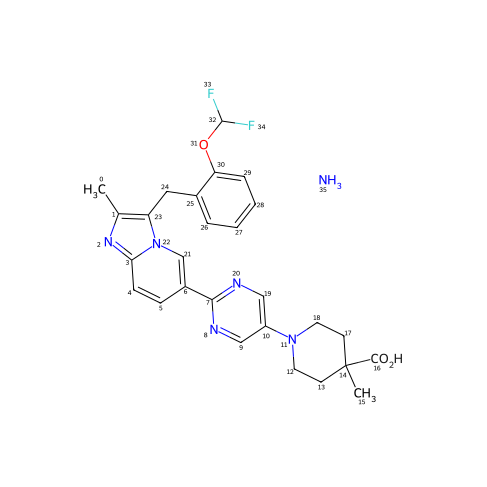 Cc1nc2ccc(-c3ncc(N4CCC(C)(C(=O)O)CC4)cn3)cn2c1Cc1ccccc1OC(F)F.N